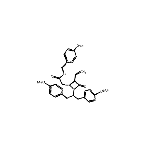 C=CC1C(=O)N(C(Cc2ccc(OC)cc2)Cc2ccc(OC)cc2)C1CC(=O)OCc1ccc(OC)cc1